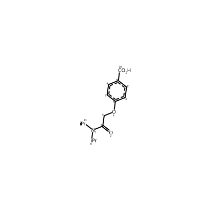 CC(C)N(C(=O)COc1ccc(C(=O)O)cc1)C(C)C